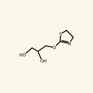 OCC(O)COC1=NCCS1